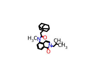 CC(C)Cn1ccc2c(N(C)C(=O)CC34CC5CC(CC(C5)C3)C4)cccc2c1=O